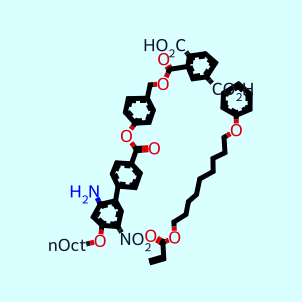 C=CC(=O)OCCCCCCCCCOc1ccccc1.CCCCCCCCOc1cc(N)c(-c2ccc(C(=O)Oc3ccc(COC(=O)c4cc(C(=O)O)ccc4C(=O)O)cc3)cc2)cc1[N+](=O)[O-]